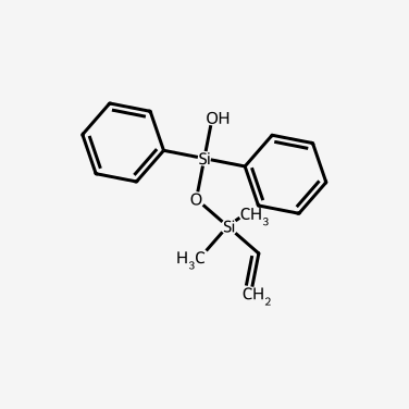 C=C[Si](C)(C)O[Si](O)(c1ccccc1)c1ccccc1